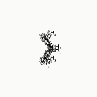 Cc1cccc(N(c2ccc3cc4c(cc3c2)oc2c(C(C)C)c3oc5cc6cc(N(c7cccc(C)c7)c7ccccc7C)ccc6cc5c3cc24)c2ccccc2C)c1